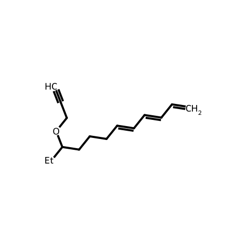 C#CCOC(CC)CCCC=CC=CC=C